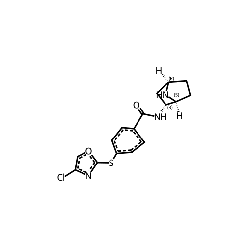 O=C(N[C@@H]1C[C@H]2CC[C@@H]1N2)c1ccc(Sc2nc(Cl)co2)cc1